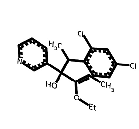 CC=C(OCC)C(O)(c1cccnc1)C(C)c1ccc(Cl)cc1Cl